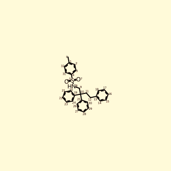 Cc1ccc(S(=O)(=O)NCC(CCc2ccccc2)(c2ccccc2)c2ccccc2)cc1